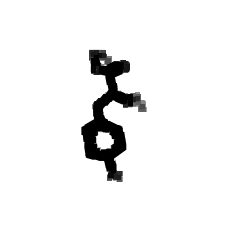 CC(=O)c1ccc(CC(N)C(=O)ON)cc1